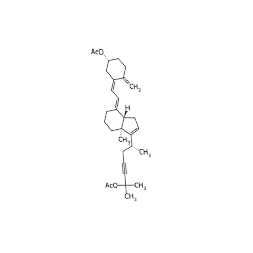 C=C1CC[C@@H](OC(C)=O)C/C1=C/C=C1\CCC[C@]2(C)C([C@H](C)CC#CC(C)(C)OC(C)=O)=CC[C@@H]12